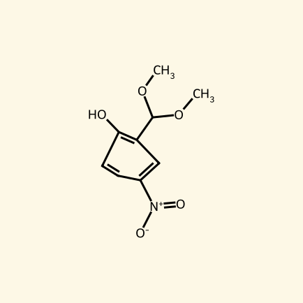 COC(OC)c1cc([N+](=O)[O-])ccc1O